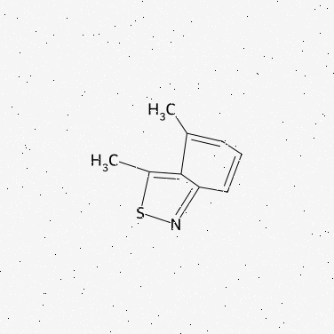 Cc1cccc2nsc(C)c12